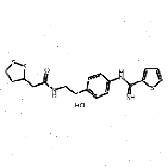 Cl.N=C(Nc1ccc(CCNC(=O)CC2CCSS2)cc1)c1cccs1